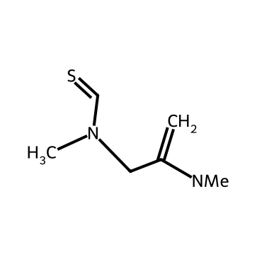 C=C(CN(C)C=S)NC